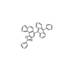 c1ccc(-c2nc3cc(-c4c5ccccc5c(-c5ccccc5)c5ccccc45)c4ccc5ccccc5c4c3o2)cc1